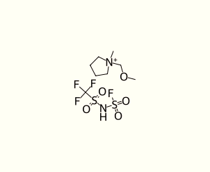 COC[N+]1(C)CCCC1.O=S(=O)(F)NS(=O)(=O)C(F)(F)F